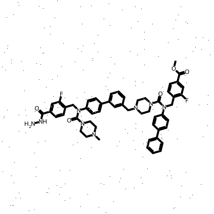 COC(=O)c1ccc(CN(C(=O)N2CCN(Cc3cccc(-c4ccc(N(Cc5ccc(C(=O)NN)cc5F)C(=O)N5CCN(C)CC5)cc4)c3)CC2)c2ccc(-c3ccccc3)cc2)c(F)c1